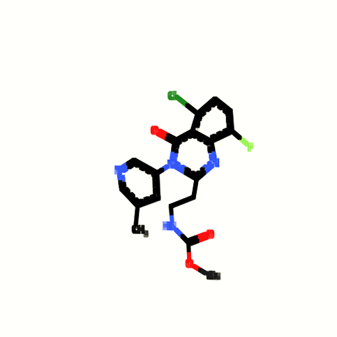 Cc1cncc(-n2c(CCNC(=O)OC(C)(C)C)nc3c(F)ccc(Cl)c3c2=O)c1